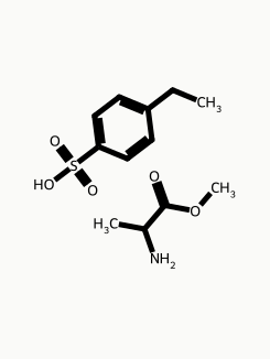 CCc1ccc(S(=O)(=O)O)cc1.COC(=O)C(C)N